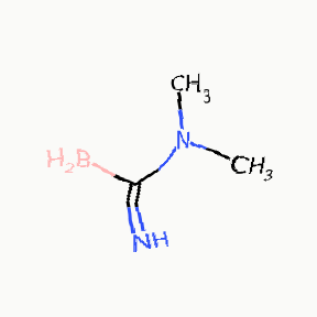 BC(=N)N(C)C